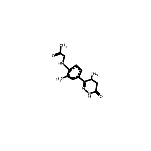 CC(=O)CNc1ccc(C2=NNC(=O)CC2C)cc1N